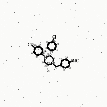 [C-]#[N+]c1ccc(CN2C[C@@H](c3ccc(Cl)cc3)N(c3ccc(Cl)cc3)C[C@H]2C)cc1